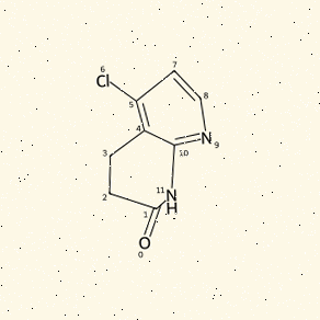 O=C1CCc2c(Cl)ccnc2N1